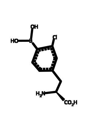 N[C@@H](Cc1ccc(B(O)O)c(Cl)c1)C(=O)O